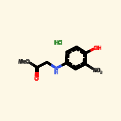 COC(=O)CNc1ccc(O)c([N+](=O)[O-])c1.Cl